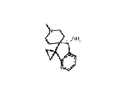 CN1CCC2(CC1)[C@H](N)c1cccnc1C21CC1